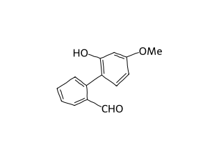 COc1ccc(-c2ccccc2C=O)c(O)c1